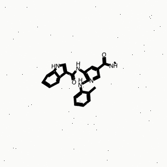 CNC(=O)c1cnc(Nc2ccccc2C)c(NC(=O)c2c[nH]c3ccccc23)c1